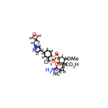 CO[C@H]1C[C@@H](S(=O)(=O)c2ccc(-c3cnn(CC4(C)COC4)c3)cc2C(F)(F)F)C[C@]1(C(=O)O)C1CC1(C#N)C(N)=O